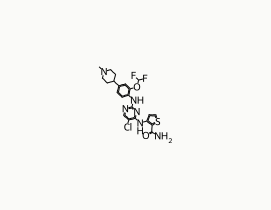 CN1CCC(c2ccc(Nc3ncc(Cl)c(Nc4ccsc4C(N)=O)n3)c(OC(F)F)c2)CC1